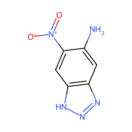 Nc1cc2nn[nH]c2cc1[N+](=O)[O-]